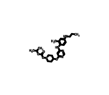 CCCNc1ccc(Nc2cc(OC3CCN(OC(=O)OC(C)C)CC3)ncn2)c(C)c1